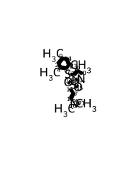 Cc1cc(C)c(Sc2c(I)cnn2S(=O)(=O)CC=CN(C)C)c(C)c1